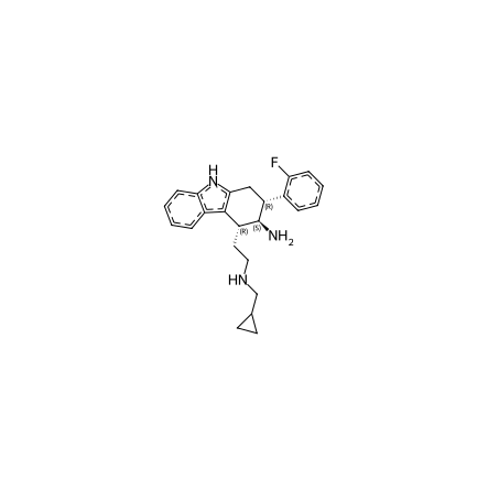 N[C@@H]1[C@@H](c2ccccc2F)Cc2[nH]c3ccccc3c2[C@H]1CCNCC1CC1